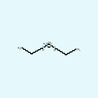 CCCCCCCC/C=C\CCCCCCCC(=O)OCCN1CCN(CCOC(=O)CCCCCCC/C=C\CCCCCCCC)C(C)(C)C1